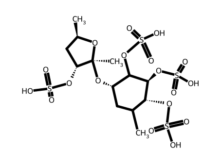 CC1C[C@H](O[C@]2(C)O[C@H](C)C[C@H]2OS(=O)(=O)O)C(OS(=O)(=O)O)[C@@H](OS(=O)(=O)O)[C@@H]1OS(=O)(=O)O